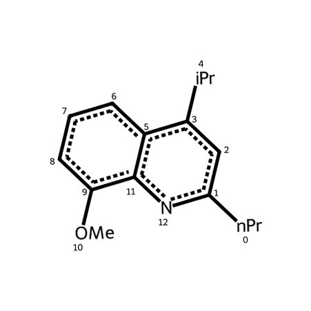 CCCc1cc(C(C)C)c2cccc(OC)c2n1